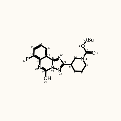 CC(C)(C)OC(=O)N1CCCC(c2nc3c4cccc(F)c4nc(O)n3n2)C1